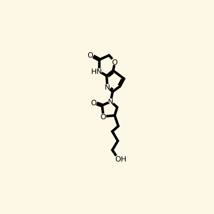 O=C1COc2ccc(N3CC(CCCCO)OC3=O)nc2N1